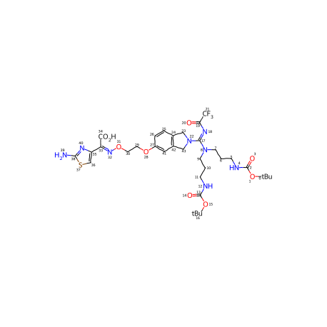 CC(C)(C)OC(=O)NCCCN(CCCNC(=O)OC(C)(C)C)/C(=N/C(=O)C(F)(F)F)N1Cc2ccc(OCCO/N=C(\C(=O)O)c3csc(N)n3)cc2C1